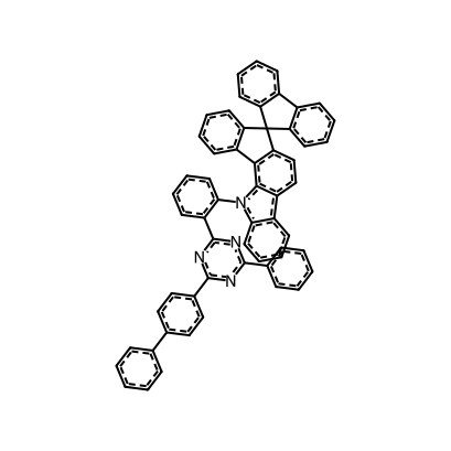 c1ccc(-c2ccc(-c3nc(-c4ccccc4)nc(-c4ccccc4-n4c5ccccc5c5ccc6c(c54)-c4ccccc4C64c5ccccc5-c5ccccc54)n3)cc2)cc1